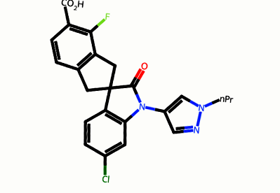 CCCn1cc(N2C(=O)C3(Cc4ccc(C(=O)O)c(F)c4C3)c3ccc(Cl)cc32)cn1